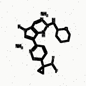 FC(F)C1(c2ccc(-c3cn(F)c4c3NN(NC3CCCCO3)N=C4)nc2)CC1.N.N